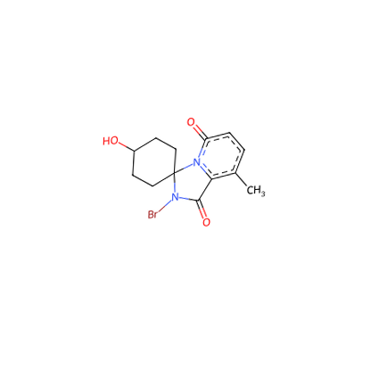 Cc1ccc(=O)n2c1C(=O)N(Br)C21CCC(O)CC1